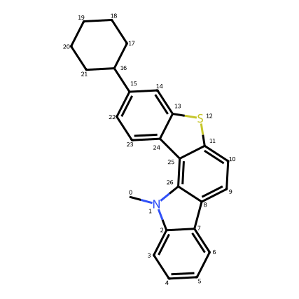 Cn1c2ccccc2c2ccc3sc4cc(C5CCCCC5)ccc4c3c21